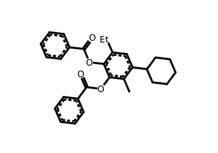 CCc1cc(C2CCCCC2)c(C)c(OC(=O)c2ccccc2)c1OC(=O)c1ccccc1